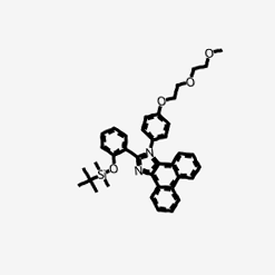 COCCOCCOc1ccc(-n2c(-c3ccccc3O[Si](C)(C)C(C)(C)C)nc3c4ccccc4c4ccccc4c32)cc1